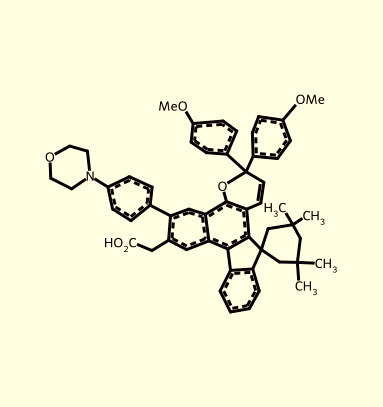 COc1ccc(C2(c3ccc(OC)cc3)C=Cc3c4c(c5cc(CC(=O)O)c(-c6ccc(N7CCOCC7)cc6)cc5c3O2)-c2ccccc2C42CC(C)(C)CC(C)(C)C2)cc1